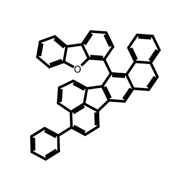 c1ccc(-c2ccc3c4c(cccc24)-c2c-3cc3ccc4ccccc4c3c2-c2cccc3c2oc2ccccc23)cc1